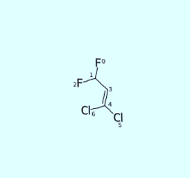 FC(F)C=C(Cl)Cl